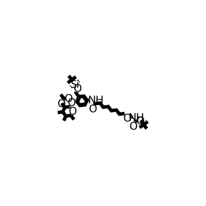 CC(=O)OC1C(Oc2ccc(NC(=O)CCCCCCCONC(=O)OC(C)(C)C)cc2CO[Si](C)(C)C(C)(C)C)OC(C)C(C)C1C